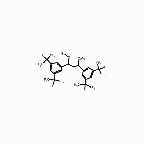 CCOC(CC(OC)c1cc(C(C)(F)C(F)(F)F)cc(C(F)(C(F)(F)F)C(F)(F)F)c1)c1cc(C(F)(C(F)(F)F)C(F)(F)F)cc(C(F)(C(F)(F)F)C(F)(F)F)c1